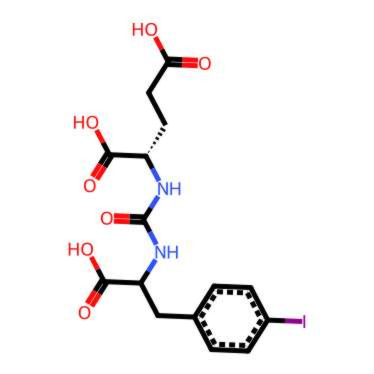 O=C(O)CC[C@H](NC(=O)NC(Cc1ccc(I)cc1)C(=O)O)C(=O)O